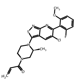 C=CC(=O)N1CCN(c2snc3nc(-c4c(F)cccc4OC)c(Cl)cc23)[C@@H](C)C1